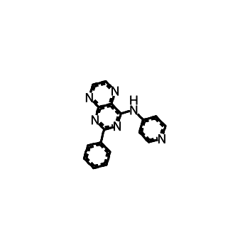 c1ccc(-c2nc(Nc3ccncc3)c3nccnc3n2)cc1